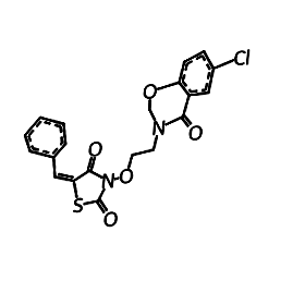 O=C1c2cc(Cl)ccc2OCN1CCON1C(=O)SC(=Cc2ccccc2)C1=O